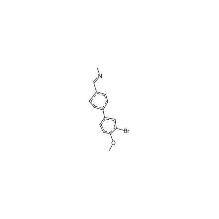 C/N=C/c1ccc(-c2ccc(OC)c(Br)c2)cc1